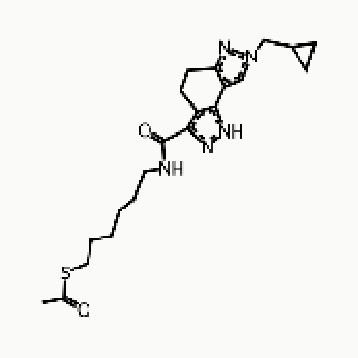 CC(=O)SCCCCCCNC(=O)c1n[nH]c2c1CCc1nn(CC3CC3)cc1-2